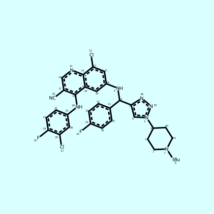 CC(C)(C)N1CCC(n2cc(C(Nc3cc(Cl)c4ncc(C#N)c(Nc5ccc(F)c(Cl)c5)c4c3)c3ccc(F)cc3)nn2)CC1